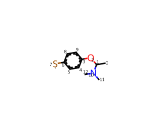 CC(Oc1ccc([S])cc1)N(C)C